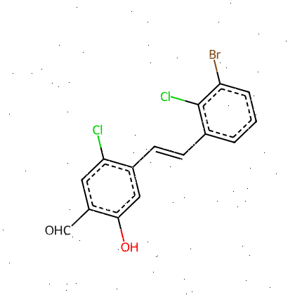 O=Cc1cc(Cl)c(/C=C/c2cccc(Br)c2Cl)cc1O